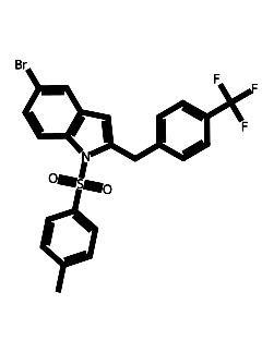 Cc1ccc(S(=O)(=O)n2c(Cc3ccc(C(F)(F)F)cc3)cc3cc(Br)ccc32)cc1